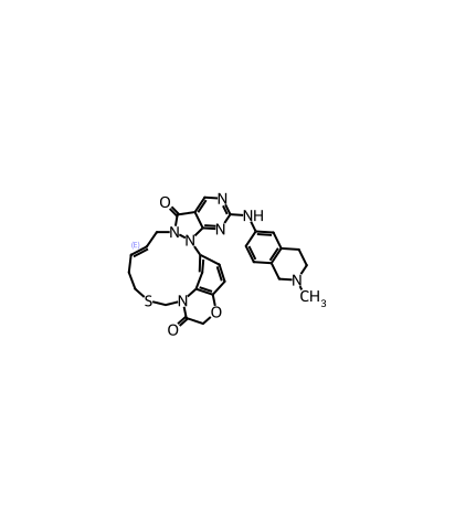 CN1CCc2cc(Nc3ncc4c(=O)n5n(c4n3)-c3ccc4c(c3)N(CSCC/C=C/C5)C(=O)CO4)ccc2C1